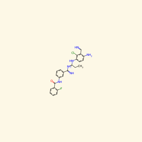 CC/C(=N\C(=N)c1cccc(NC(=O)c2ccccc2F)c1)Nc1ccc(N)c(C=N)c1Cl